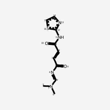 CN(C)/C=N/C(=O)/C=C/C(=O)Nc1nccs1